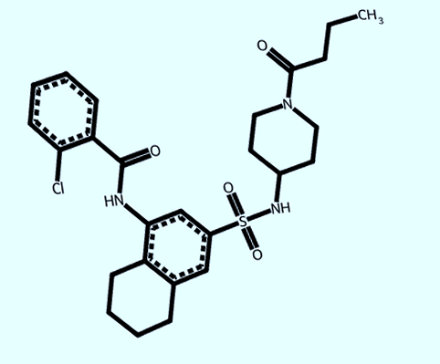 CCCC(=O)N1CCC(NS(=O)(=O)c2cc3c(c(NC(=O)c4ccccc4Cl)c2)CCCC3)CC1